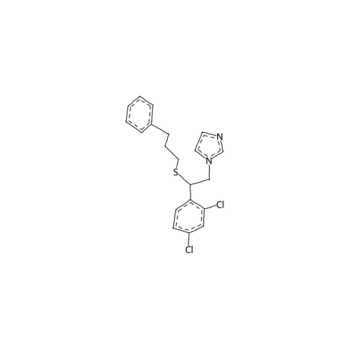 Clc1ccc(C(Cn2ccnc2)SCCCc2ccccc2)c(Cl)c1